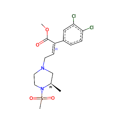 COC(=O)/C(=C\CN1CCN(S(C)(=O)=O)[C@H](C)C1)c1ccc(Cl)c(Cl)c1